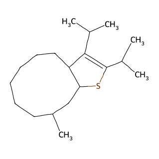 CC1CCCCCCC2C(C(C)C)=C(C(C)C)SC2C1